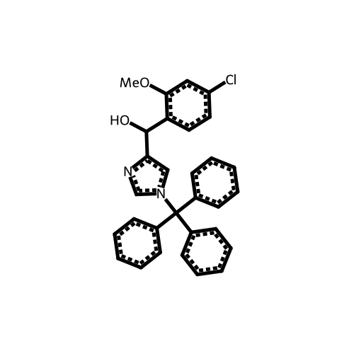 COc1cc(Cl)ccc1C(O)c1cn(C(c2ccccc2)(c2ccccc2)c2ccccc2)cn1